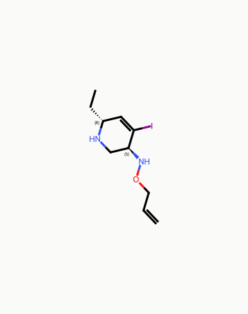 C=CCON[C@H]1CN[C@H](CC)C=C1I